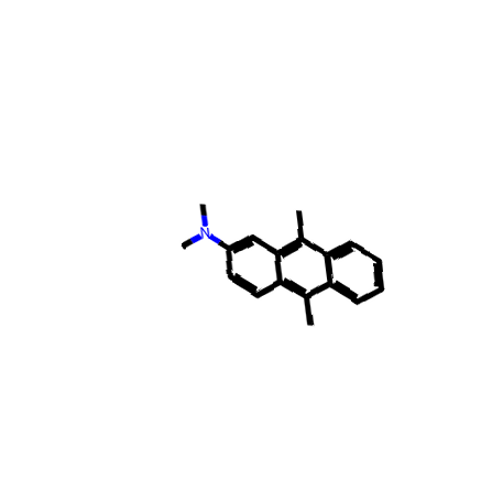 Cc1c2ccccc2c(C)c2cc(N(C)C)ccc12